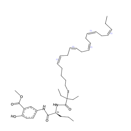 CC/C=C\C/C=C\C/C=C\C/C=C\C/C=C\CCCCSC(CC)(CC)C(=O)N[C@@H](CCC)C(=O)Nc1ccc(O)c(C(=O)OC)c1